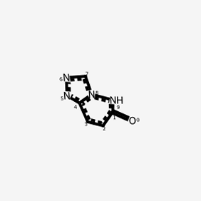 O=c1ccc2nncn2[nH]1